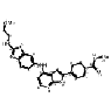 COCCNc1nc2ccc(Nc3ccnc4[nH]c(C5=CCN(C(=O)OC(C)(C)C)CC5)cc34)cc2s1